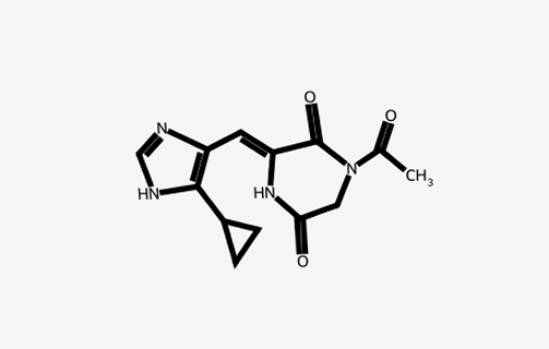 CC(=O)N1CC(=O)NC(=Cc2nc[nH]c2C2CC2)C1=O